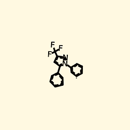 FC(F)(F)c1cc(-c2ccccc2)n(-c2c[c]ccc2)n1